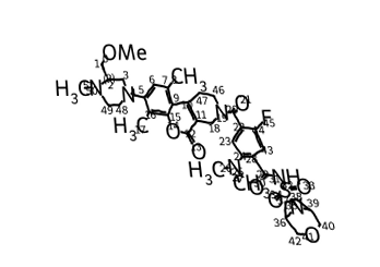 COC[C@H]1CN(c2cc(C)c3c4c(c(=O)oc3c2C)CN(C(=O)c2cc(N(C)C)c(C(=O)NS(=O)(=O)N3C5CCC3COC5)cc2F)CC4)CCN1C